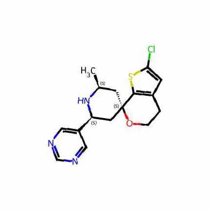 C[C@H]1C[C@@]2(C[C@@H](c3cncnc3)N1)OCCc1cc(Cl)sc12